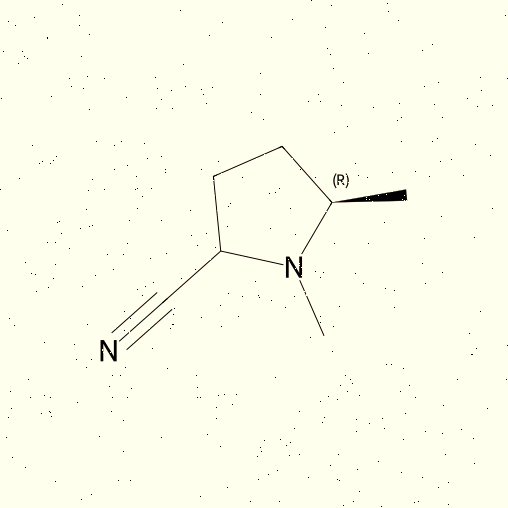 C[C@@H]1CCC(C#N)N1C